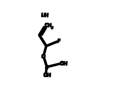 C=CC(F)OB(O)O.[LiH]